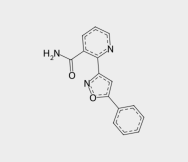 NC(=O)c1cccnc1-c1cc(-c2ccccc2)on1